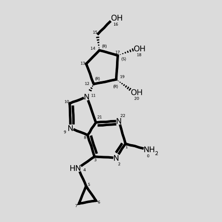 Nc1nc(NC2CC2)c2ncn([C@@H]3C[C@H](CO)[C@H](O)[C@@H]3O)c2n1